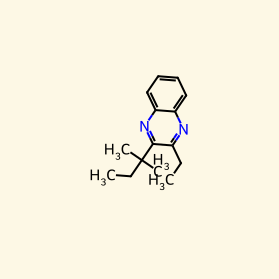 CCc1nc2ccccc2nc1C(C)(C)CC